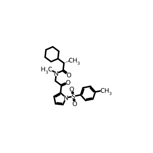 Cc1ccc(S(=O)(=O)n2cccc2C(=O)CN(C)C(=O)[C@@H](C)C2CCCCC2)cc1